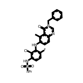 CCCS(=O)(=O)Nc1ccc(F)c(Nc2ccc3ncn(Cc4ccccc4)c(=O)c3c2C)c1Cl